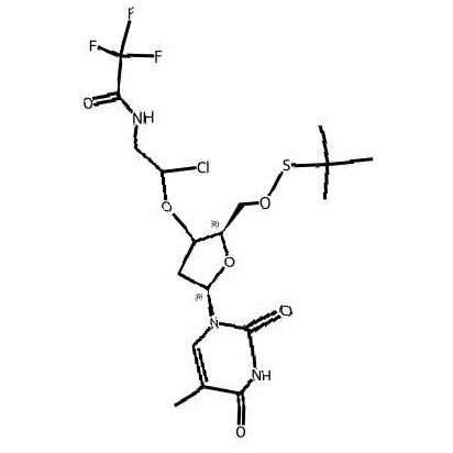 Cc1cn([C@H]2CC(OC(Cl)CNC(=O)C(F)(F)F)[C@@H](COSC(C)(C)C)O2)c(=O)[nH]c1=O